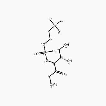 COCC(=O)C(OP(=O)([O-])OCC[N+](C)(C)C)[C@@H](O)CO